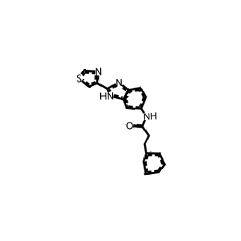 O=C(CCc1ccccc1)Nc1ccc2nc(-c3cscn3)[nH]c2c1